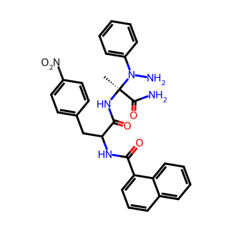 C[C@@](NC(=O)C(Cc1ccc([N+](=O)[O-])cc1)NC(=O)c1cccc2ccccc12)(C(N)=O)N(N)c1ccccc1